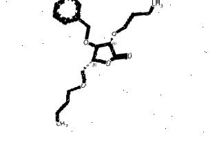 CCCCOC[C@H]1OC(=O)[C@@H](OCCCC)C1OCc1ccccc1